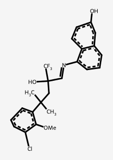 COc1c(Cl)cccc1C(C)(C)CC(O)(/C=N/c1cccc2cc(O)ccc12)C(F)(F)F